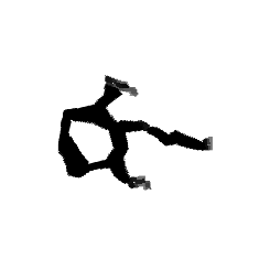 Cc1cccc(C)c1OCCl